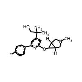 CN1C[C@@H]2[C@H](C1)[C@H]2Oc1cc(C(C)(N)CO)cc(-c2ccc(F)cc2)n1